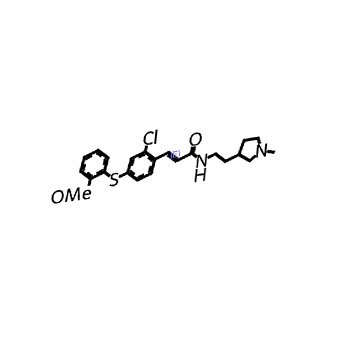 COc1ccccc1Sc1ccc(/C=C/C(=O)NCCC2CCN(C)C2)c(Cl)c1